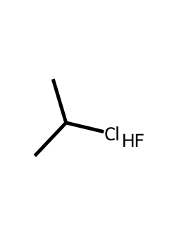 CC(C)Cl.F